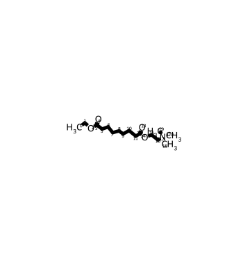 CCOC(=O)CCCCCCCC(=O)OCC[N+](C)(C)C